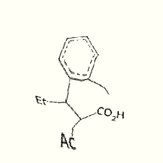 CCC(c1ccccc1C)C(C(C)=O)C(=O)O